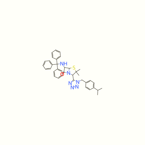 CC(C)c1ccc(Cn2nnnc2C2N3C(=O)C(NC(c4ccccc4)(c4ccccc4)c4ccccc4)C3SC2(C)C)cc1